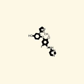 Cn1nccc1[C@@H]1CC(O)CCC1Oc1cc(F)c(SNc2ccncn2)cc1Cl